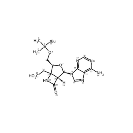 CC(C)(C)[Si](C)(C)OC[C@H]1O[C@@H](n2cnc3c(N)ncnc32)[C@@H]2C(=O)NC12CC(=O)O